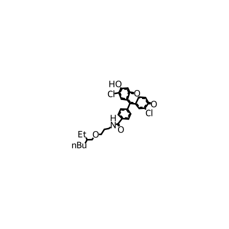 CCCCC(CC)COCCCNC(=O)c1ccc(-c2c3cc(Cl)c(=O)cc-3oc3cc(O)c(Cl)cc23)cc1